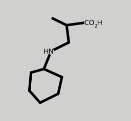 CC(CNC1CCCCC1)C(=O)O